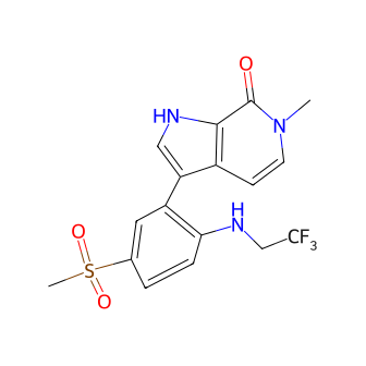 Cn1ccc2c(-c3cc(S(C)(=O)=O)ccc3NCC(F)(F)F)c[nH]c2c1=O